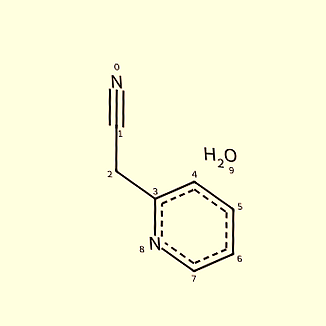 N#CCc1ccccn1.O